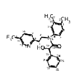 Cc1ccc(N(CCc2ccc(C(F)(F)F)cn2)C(=O)C(O)c2ccccc2)cc1C